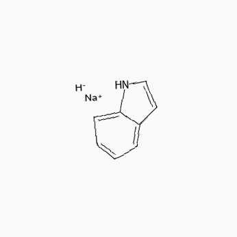 [H-].[Na+].c1ccc2[nH]ccc2c1